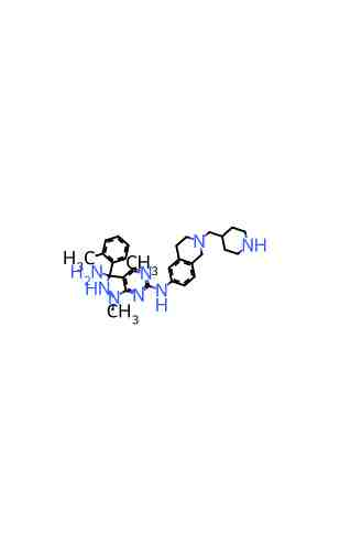 Cc1cccc(C)c1C1(N)NN(C)c2nc(Nc3ccc4c(c3)CCN(CC3CCNCC3)C4)ncc21